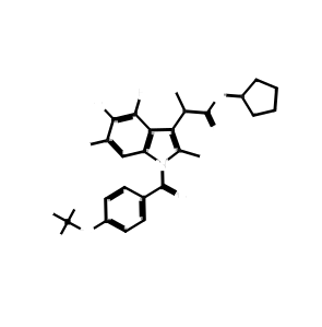 Cc1c(C(C)C(=O)OC2CCCC2)c2c(F)c(O)c(F)cc2n1C(=O)c1ccc(OC(F)(F)F)cc1